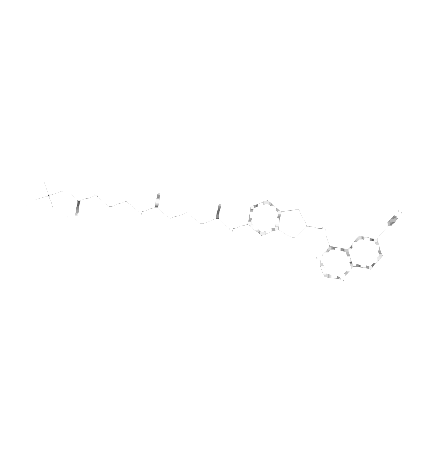 CC(C)(C)OC(=O)NCCNC(=O)CCCC(=O)Nc1ccc2c(c1)CC(Nc1ncnc3ccc(C#N)cc13)C2